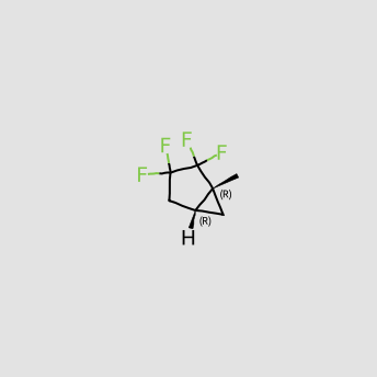 C[C@@]12C[C@@H]1CC(F)(F)C2(F)F